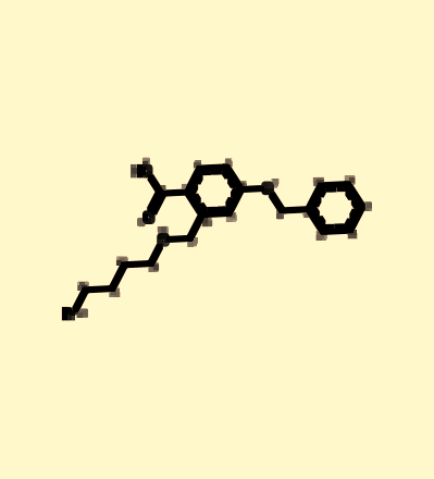 O=C(O)c1ccc(OCc2ccccc2)cc1COCCCCBr